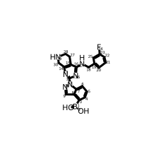 OB(O)c1cccc2c1cnn2-c1nc2c(c(NCc3cccc(F)c3)n1)CCNC2